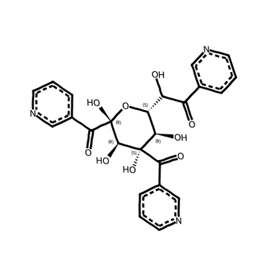 O=C(c1cccnc1)C(O)[C@H]1O[C@@](O)(C(=O)c2cccnc2)[C@H](O)[C@](O)(C(=O)c2cccnc2)[C@@H]1O